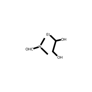 CCC(O)CO.CN(C)C=O